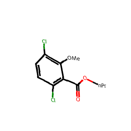 CCCOC(=O)c1c(Cl)ccc(Cl)c1OC